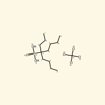 CCCCC(CCC)(CCCC)P(=O)(O)O.ClC(Cl)(Cl)Cl